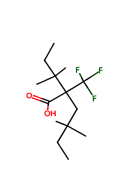 CCC(C)(C)CC(C(=O)O)(C(F)(F)F)C(C)(C)CC